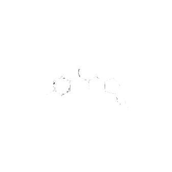 N[C@@H]1CC[C@H](CNC(=O)c2ccc(F)cc2)C1